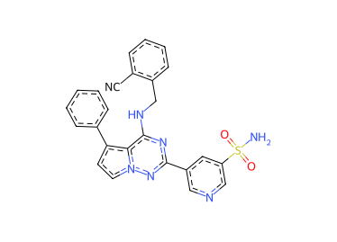 N#Cc1ccccc1CNc1nc(-c2cncc(S(N)(=O)=O)c2)nn2ccc(-c3ccccc3)c12